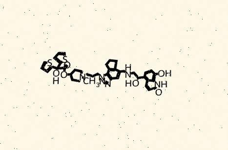 C[N+]1(CCCn2nnc3cc(CNC[C@H](O)c4ccc(O)c5[nH]c(=O)ccc45)c4c(c32)CCC4)CCC(OC(=O)C(O)(c2cccs2)c2cccs2)CC1